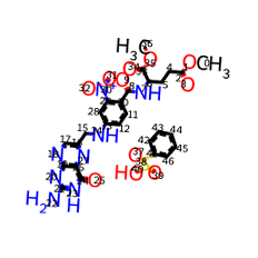 COC(=O)CCC(NC(=O)c1ccc(NCc2cnc3nc(N)[nH]c(=O)c3n2)cc1[N+](=O)[O-])C(=O)OC.O=S(=O)(O)c1ccccc1